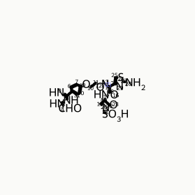 N=C(NNC=O)c1ccc(OCCO/N=C(\C(=O)N[C@H]2CN(S(=O)(=O)O)C2=O)c2csc(N)n2)cc1